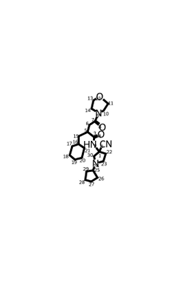 N#CC1(NC(=O)C(CC(=O)N2CCOCC2)CC2CCCCC2)CCN(C2CCCC2)C1